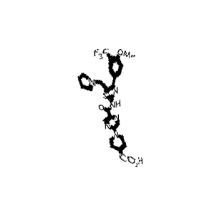 COc1ccc(-c2nc(NC(=O)c3cnc(N4CCC(C(=O)O)CC4)cn3)sc2CN2CCCC2)cc1C(F)(F)F